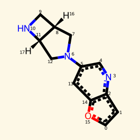 c1cc2ncc(N3C[C@H]4CN[C@H]4C3)cc2o1